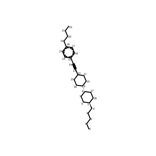 CCCCC[C@H]1CC[C@H](C2CCC(C#Cc3ccc(CCCC)cc3)CC2)CC1